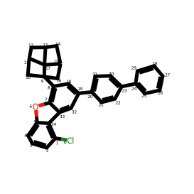 Clc1cccc2oc3c(C45CC6CC7CC(C4)C765)cc(-c4ccc(-c5ccccc5)cc4)cc3c12